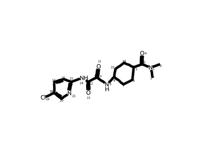 CN(C)C(=O)C1CCC(NC(=O)C(=O)Nc2ccc(Cl)cn2)CC1